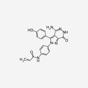 C=CC(=O)Nc1ccc(-n2nc3c(=O)[nH]nc(N)c3c2-c2ccc(O)cc2)cc1